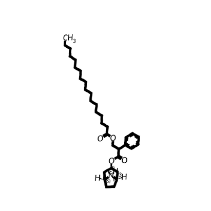 CCCCCCCCCCCCCCCCCC(=O)OCC(C(=O)O[C@H]1C[C@H]2CC[C@@H](C1)N2C)c1ccccc1